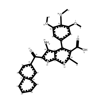 COc1cc(-c2c(C(=O)O)c(C)nc3sc(C(=O)c4ccc5ccccc5c4)c(N)c23)cc(OC)c1OC